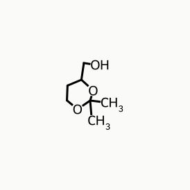 CC1(C)OCCC(CO)O1